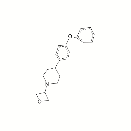 [c]1cc(C2CCN(C3COC3)CC2)ccc1Oc1ccccc1